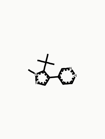 Cn1ncc(-c2ccnnc2)c1C(C)(C)C